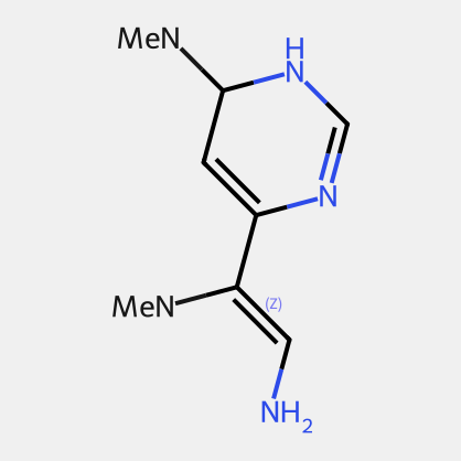 CN/C(=C\N)C1=CC(NC)NC=N1